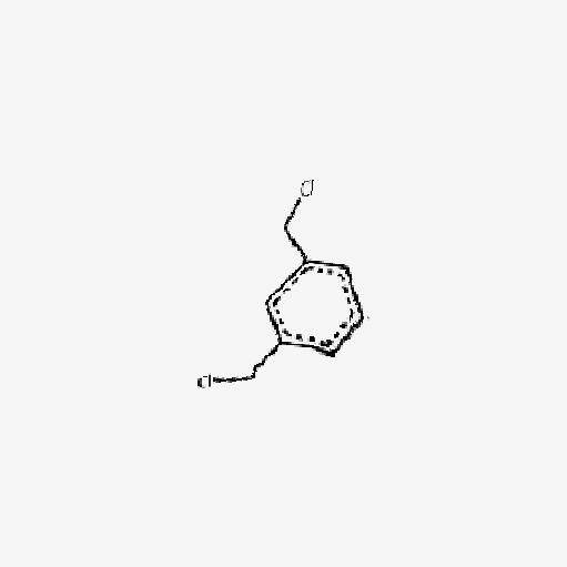 ClCc1c[c]cc(CCl)c1